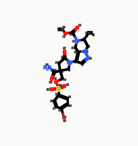 C[C@H]1Cn2ncc(N3CC(COS(=O)(=O)c4ccc(Br)cc4)(C(N)=O)CC3=O)c2CN1C(=O)OC(C)(C)C